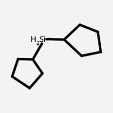 C1CCC([SiH2]C2CCCC2)C1